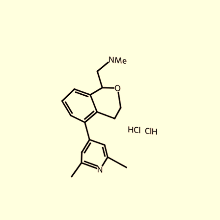 CNCC1OCCc2c(-c3cc(C)nc(C)c3)cccc21.Cl.Cl